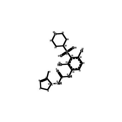 CC1=CCC[C@H]1NC(=O)Nc1ccc(Cl)c(S(=O)(=O)C2CCOCC2)c1O